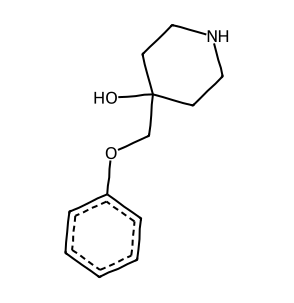 OC1(COc2ccccc2)CCNCC1